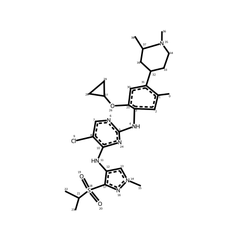 Cc1cc(Nc2ncc(Cl)c(Nc3cn(C)nc3S(=O)(=O)C(C)C)n2)c(OC2CC2)cc1C1CCN(C)C(C)C1